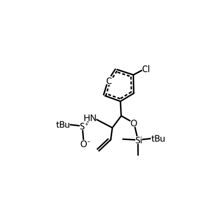 C=CC(N[S+]([O-])C(C)(C)C)C(O[Si](C)(C)C(C)(C)C)c1cccc(Cl)c1